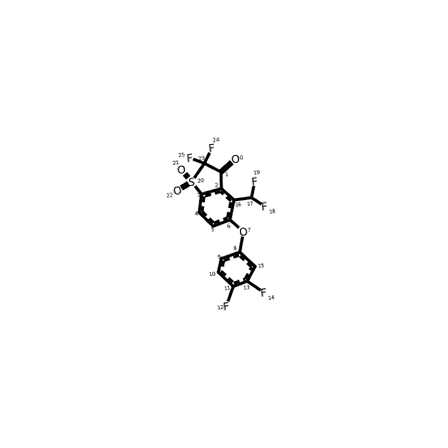 O=C1c2c(ccc(Oc3ccc(F)c(F)c3)c2C(F)F)S(=O)(=O)C1(F)F